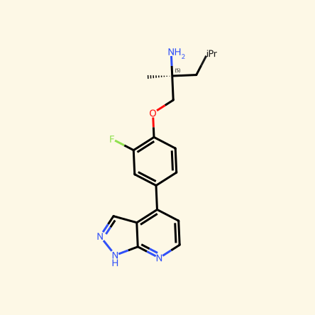 CC(C)C[C@](C)(N)COc1ccc(-c2ccnc3[nH]ncc23)cc1F